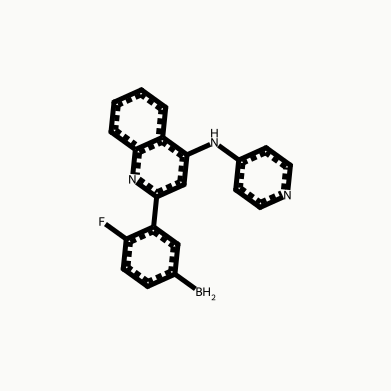 Bc1ccc(F)c(-c2cc(Nc3ccncc3)c3ccccc3n2)c1